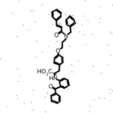 O=C(c1ccccc1)c1ccccc1N[C@@H](Cc1ccc(OCCCN(Cc2ccccc2)C(=O)/C=C/c2ccccc2)cc1)C(=O)O